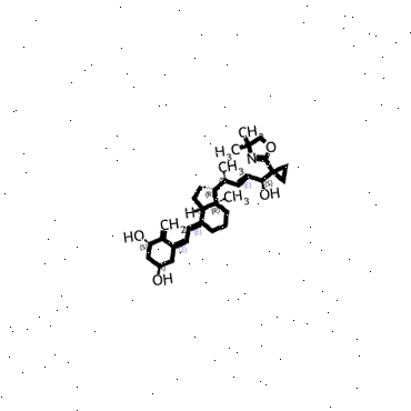 C=C1/C(=C\C=C2/CCC[C@]3(C)[C@@H]([C@H](C)/C=C/[C@H](O)C4(C5=NC(C)(C)CO5)CC4)CC[C@@H]23)C[C@@H](O)C[C@@H]1O